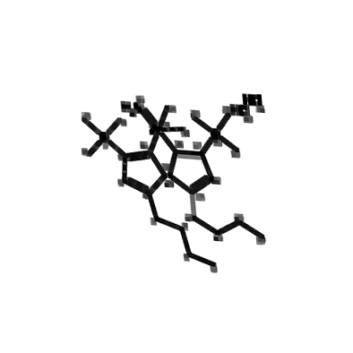 CCCCC1=CC([Si](C)(C)C)=[C]([Zr]([CH3])([CH3])(=[SiH2])[C]2=C([Si](C)(C)C)C=C(CCCC)C2)C1.Cl.Cl